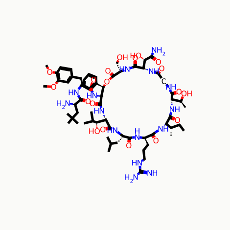 CC[C@H](C)[C@@H]1NC(=O)[C@@H](CCCNC(=N)N)NC(=O)[C@H](CC(C)C)NC(=O)[C@H]([C@H](O)C(C)C)NC(=O)[C@@H](NC(=O)[C@H](Cc2ccc(OC)c(OC)c2)NC(=O)[C@H](N)CC(C)(C)C)[C@@H](c2ccccc2)OC(=O)[C@H](CO)NC(=O)[C@H]([C@H](O)C(N)=O)NC(=O)CNC(=O)[C@H]([C@H](C)O)NC1=O